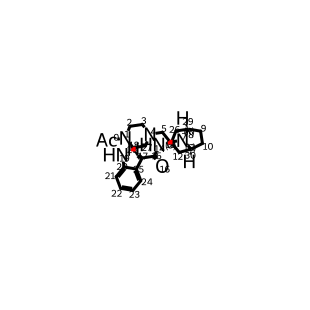 CC(=O)N1CCN(CCN2[C@@H]3CC[C@H]2C[C@H](NC(=O)c2n[nH]c4ccccc24)C3)CC1